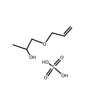 C=CCOCC(C)O.O=S(=O)(O)O